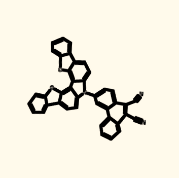 N#Cc1c(C#N)c2ccc(-n3c4ccc5c6ccccc6oc5c4c4c5oc6ccccc6c5ccc43)cc2c2ccccc12